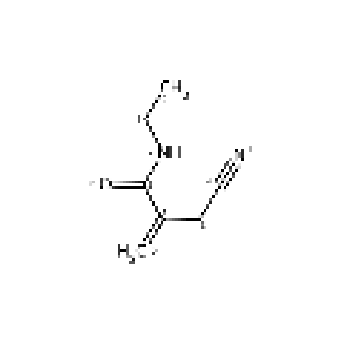 C=C(CC#N)C(=O)NCC